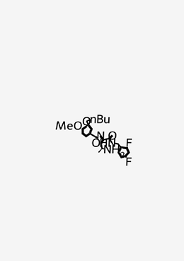 CCCCOc1cc(-c2nc(C(=O)NCc3ccc(F)cc3F)c([C@H](C)N)o2)ccc1OC